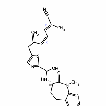 C=C(/C=C\C=C(/C)C#N)Cc1cnc(C(O)N[C@H]2CCc3cccnc3N(C)C2=O)s1